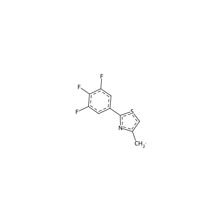 [CH2]c1csc(-c2cc(F)c(F)c(F)c2)n1